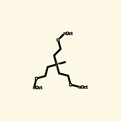 CCCCCCCCOCC[N+](C)(CCOCCCCCCCC)CCOCCCCCCCC